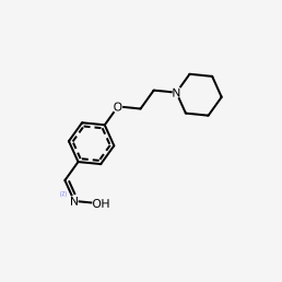 O/N=C\c1ccc(OCCN2CCCCC2)cc1